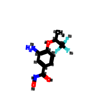 CC(Oc1ccc(C(=O)N=O)cc1N)C(F)(F)F